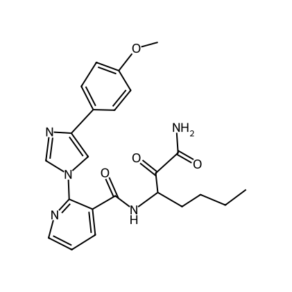 CCCCC(NC(=O)c1cccnc1-n1cnc(-c2ccc(OC)cc2)c1)C(=O)C(N)=O